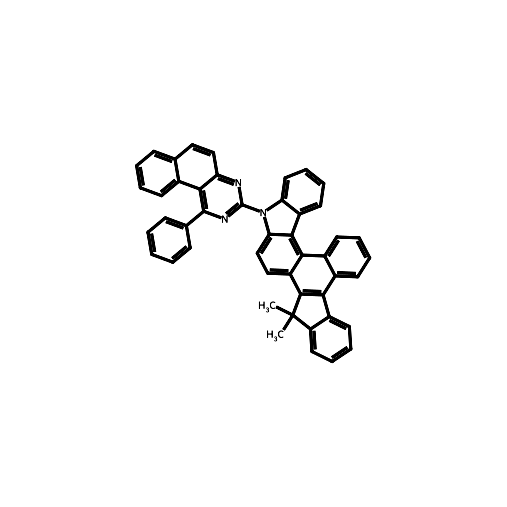 CC1(C)c2ccccc2-c2c1c1ccc3c(c4ccccc4n3-c3nc(-c4ccccc4)c4c(ccc5ccccc54)n3)c1c1ccccc21